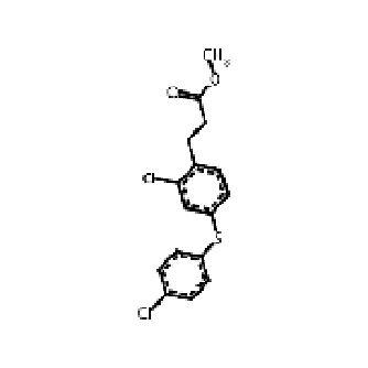 COC(=O)CCc1ccc(Sc2ccc(Cl)cc2)cc1Cl